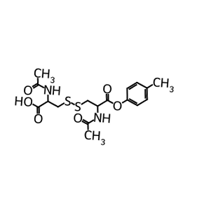 CC(=O)NC(CSSCC(NC(C)=O)C(=O)Oc1ccc(C)cc1)C(=O)O